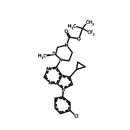 C[C@H]1CN(C(=O)OC(C)(C)C(F)(F)F)CCN1c1ncnc2c1c(C1CC1)cn2-c1cccc(Cl)c1